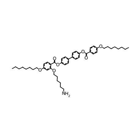 CCCCCCCCOc1ccc(C(=O)Oc2ccc(-c3ccc(OC(=O)c4ccc(OCCCCCCCC)cc4OCCCCCCN)cc3)cc2)cc1